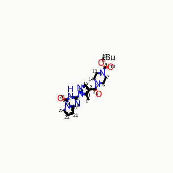 Cc1c(C(=O)N2CCN(C(=O)OC(C)(C)C)CC2)cnn1-c1nc2cccn2c(=O)[nH]1